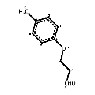 Cc1ccc(OCCC=O)cc1